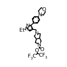 CCn1cc(CN2CC3CN(C(=O)OC(C(F)(F)F)C(F)(F)F)CC3C2)c(-c2ccc(N3CCOCC3)cc2)n1